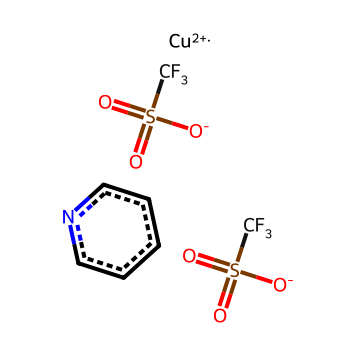 O=S(=O)([O-])C(F)(F)F.O=S(=O)([O-])C(F)(F)F.[Cu+2].c1ccncc1